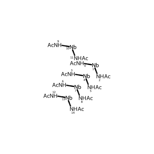 CC(=O)[NH][Nb][NH]C(C)=O.CC(=O)[NH][Nb][NH]C(C)=O.CC(=O)[NH][Nb][NH]C(C)=O.CC(=O)[NH][Nb][NH]C(C)=O.CC(=O)[NH][Nb][NH]C(C)=O